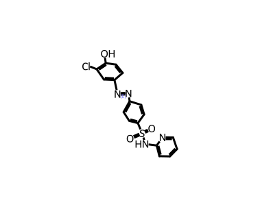 O=S(=O)(Nc1ccccn1)c1ccc(/N=N/c2ccc(O)c(Cl)c2)cc1